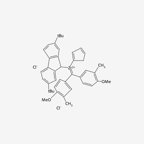 COc1ccc([C](c2ccc(OC)c(C)c2)=[Zr+2]([C]2=CC=CC2)[CH]2c3cc(C(C)(C)C)ccc3-c3ccc(C(C)(C)C)cc32)cc1C.[Cl-].[Cl-]